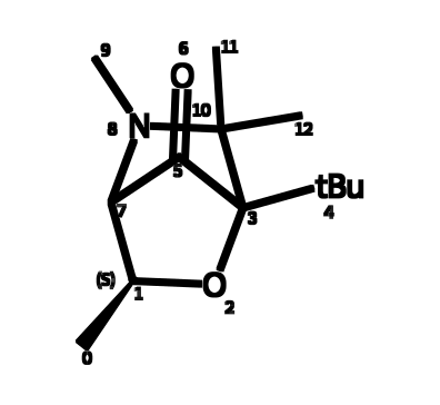 C[C@@H]1OC2(C(C)(C)C)C(=O)C1N(C)C2(C)C